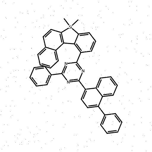 C[Si]1(C)c2cccc(-c3nc(-c4ccccc4)nc(-c4ccc(-c5ccccc5)c5ccccc45)n3)c2-c2c1ccc1ccccc21